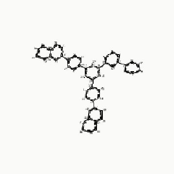 c1ccc(-c2cccc(-c3nc(-c4ccc(-c5ccc6ccccc6c5)cc4)nc(-c4ccc(-c5ccc6ccccc6c5)cc4)n3)c2)cc1